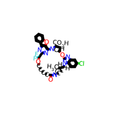 C[C@H]1CN2CC[C@@H]1n1c(nc3cc(Cl)ccc31)O[C@H]1C[C@@H](C(=O)O)N(C1)c1nc(nc3c1oc1ccccc13)C(F)(F)OCCCCC2=O